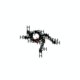 OC(COCCOCC(O)CN1CCN(CC(O)COCC2(COCC(O)CN3CCN(CC(O)COCCOCC(O)CN4CCNCC4)CC3)COCC(O)CN3CCN(CC3)CC(O)COCC(COCC(O)CN3CCNCC3)(COCC(O)CN3CCNCC3)COCC(O)CN3CCN(CC3)CC(O)COC2)CC1)CN1CCNCC1